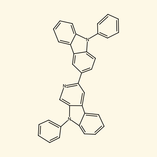 c1ccc(-n2c3ccccc3c3cc(-c4cc5c6ccccc6n(-c6ccccc6)c5cn4)ccc32)cc1